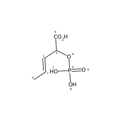 CC=CC(OP(=O)(O)O)C(=O)O